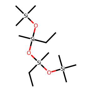 CC[Si](C)(O[Si](C)(C)C)O[Si](C)(CC)O[Si](C)(C)C